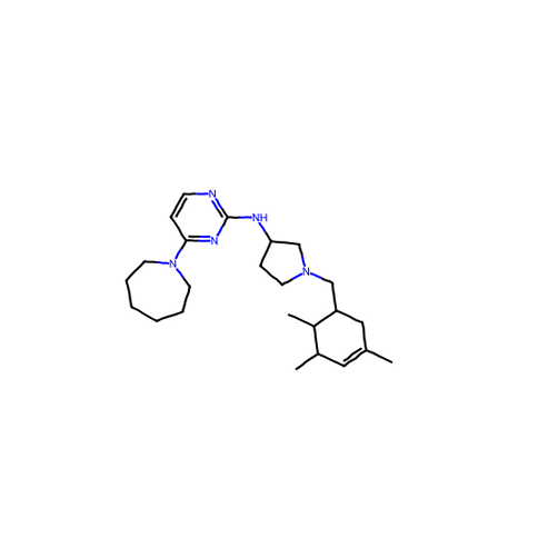 CC1=CC(C)C(C)C(CN2CCC(Nc3nccc(N4CCCCCC4)n3)C2)C1